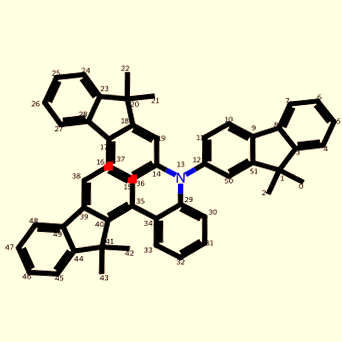 CC1(C)c2ccccc2-c2ccc(N(c3ccc4c(c3)C(C)(C)c3ccccc3-4)c3ccccc3-c3cccc4c3C(C)(C)c3ccccc3-4)cc21